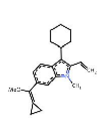 C=Cc1c(C2CCCCC2)c2ccc(C(OC)=C3CC3)cc2n1C